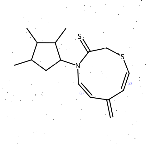 C=C1/C=C\SCC(=S)N(C2CC(C)C(C)C2C)/C=C\1